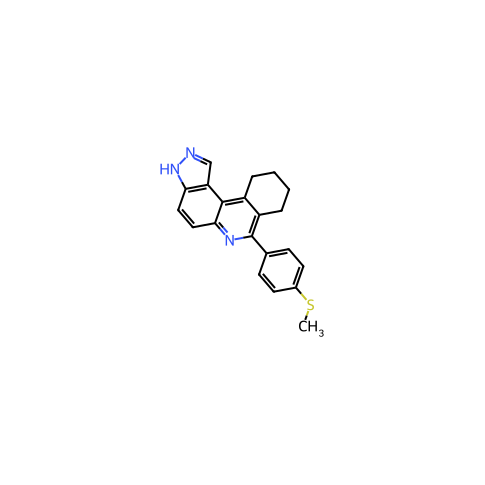 CSc1ccc(-c2nc3ccc4[nH]ncc4c3c3c2CCCC3)cc1